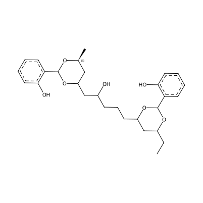 CCC1CC(CCCC(O)CC2C[C@H](C)OC(c3ccccc3O)O2)OC(c2ccccc2O)O1